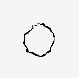 [C]1=C/C=C/C=C/C=C/C=C\C=C\C=C\C=C/C=C/C=C/CCC/1